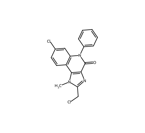 Cn1c(CCl)nc2c(=O)n(-c3ccccc3)c3cc(Cl)ccc3c21